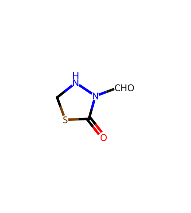 O=CN1NCSC1=O